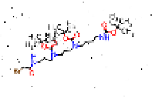 CC(C)(C)OC(=O)NCCCCN(CCCN(CCCNC(=O)CBr)C(=O)OC(C)(C)C)C(=O)OC(C)(C)C